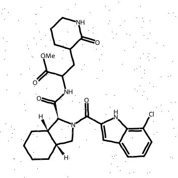 COC(=O)C(CC1CCCNC1=O)NC(=O)[C@@H]1[C@H]2CCCC[C@H]2CN1C(=O)c1cc2cccc(Cl)c2[nH]1